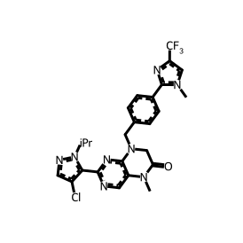 CC(C)n1ncc(Cl)c1-c1ncc2c(n1)N(Cc1ccc(-c3nc(C(F)(F)F)cn3C)cc1)CC(=O)N2C